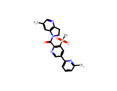 CCS(=O)(=O)c1cc(-c2cccc(C(F)(F)F)n2)cnc1C(=O)N1CCc2ncc(C(F)(F)F)cc21